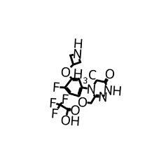 CC1C(=O)NN=C2COc3cc(F)c(OC4CNC4)cc3N21.O=C(O)C(F)(F)F